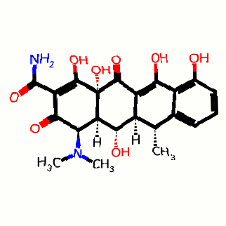 C[C@H]1c2cccc(O)c2C(O)=C2C(=O)[C@]3(O)C(O)=C(C(N)=O)C(=O)[C@H](N(C)C)[C@@H]3[C@@H](O)[C@@H]21